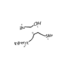 CCC(C)O.CCCCCCSC